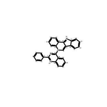 c1ccc(-c2nc(-n3cc4c5ccccc5nc-4c4ccccc43)c3ccccc3n2)cc1